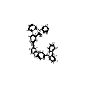 c1ccc(-n2c(-c3cccc(-c4ccc5sc6ccc(-n7c8ccccc8c8ccccc87)cc6c5c4)c3)nc3ccccc32)cc1